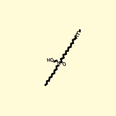 CCCCCCCCCCCCCCCCCC(=O)N(CCO)CCCCCCCCCCCC